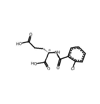 O=C(O)CC[C@H](NC(=O)c1ccccc1Cl)C(=O)O